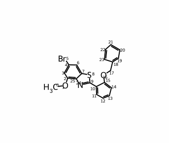 COc1cc(Br)cc2sc(-c3ccccc3OCc3ccccc3)nc12